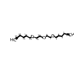 C#CCCCCOCCOCCOCCCCC#C